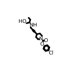 CCC(CO)NCC#CC1CCN(C(=O)Oc2ccc(Cl)cc2)CC1